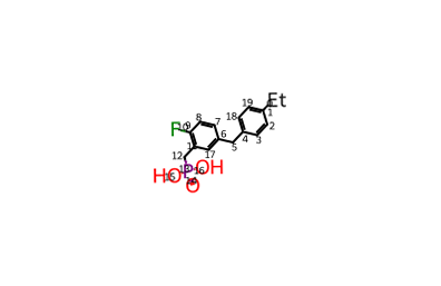 CCc1ccc(Cc2ccc(F)c(CP(=O)(O)O)c2)cc1